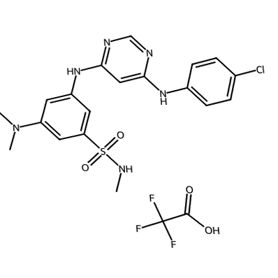 CNS(=O)(=O)c1cc(Nc2cc(Nc3ccc(Cl)cc3)ncn2)cc(N(C)C)c1.O=C(O)C(F)(F)F